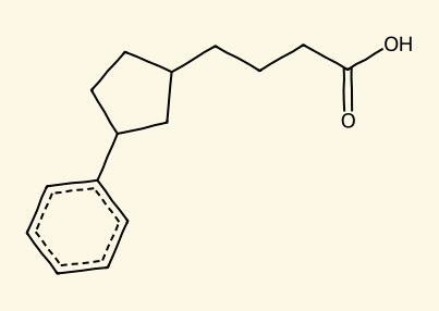 O=C(O)CCCC1CCC(c2ccccc2)C1